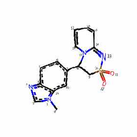 Cn1cnc2ccc(C3CS(=O)(=O)N=C4C=CC=CN43)cc21